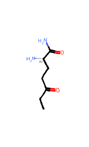 CCC(=O)CC[C@H](N)C(N)=O